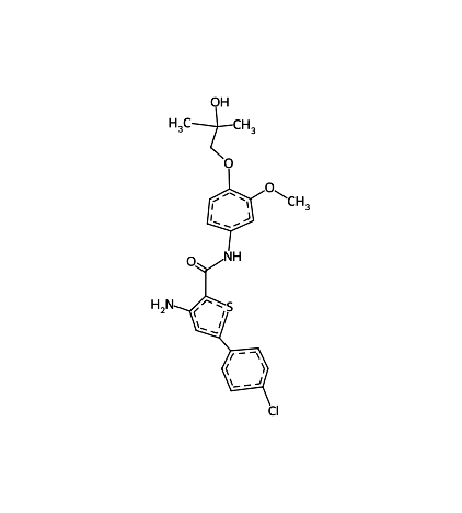 COc1cc(NC(=O)c2sc(-c3ccc(Cl)cc3)cc2N)ccc1OCC(C)(C)O